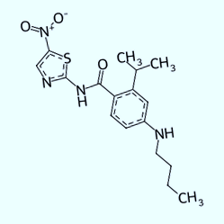 CCCCNc1ccc(C(=O)Nc2ncc([N+](=O)[O-])s2)c(C(C)C)c1